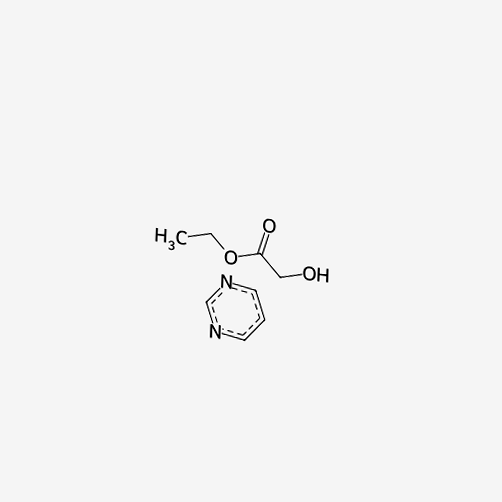 CCOC(=O)CO.c1cncnc1